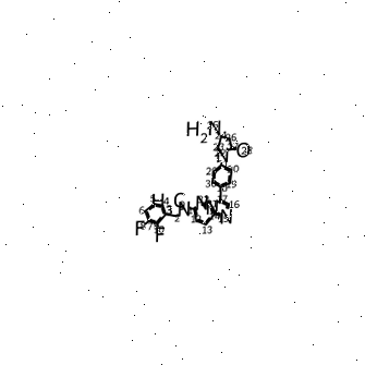 CN(Cc1cccc(F)c1F)c1ccc2ncc(-c3ccc(N4C[C@@H](N)CC4=O)cc3)n2n1